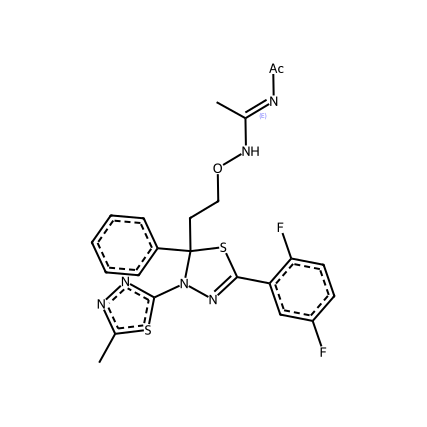 CC(=O)/N=C(\C)NOCCC1(c2ccccc2)SC(c2cc(F)ccc2F)=NN1c1nnc(C)s1